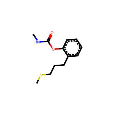 CNC(=O)Oc1ccccc1CCCSC